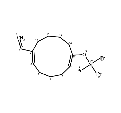 C=C/C1=C/CCC/C=C(/O[Si](C(C)C)(C(C)C)C(C)C)CCCC1